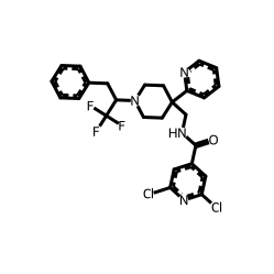 O=C(NCC1(c2ccccn2)CCN(C(Cc2ccccc2)C(F)(F)F)CC1)c1cc(Cl)nc(Cl)c1